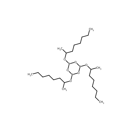 CCCCCCC(C)OB1OB(OC(C)CCCCCC)OB(OC(C)CCCCCC)O1